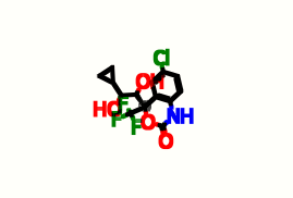 O=C1Nc2ccc(Cl)cc2[C@@](C(O)C(O)C2CC2)(C(F)(F)F)O1